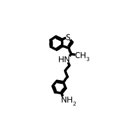 CC(NCCCc1cccc(N)c1)c1csc2ccccc12